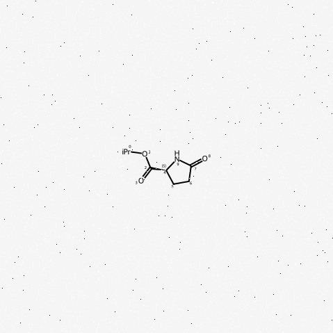 CC(C)OC(=O)[C@@H]1CCC(=O)N1